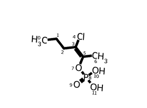 CCCC(Cl)=C(C)OP(=O)(O)O